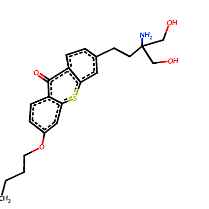 CCCCOc1ccc2c(=O)c3ccc(CCC(N)(CO)CO)cc3sc2c1